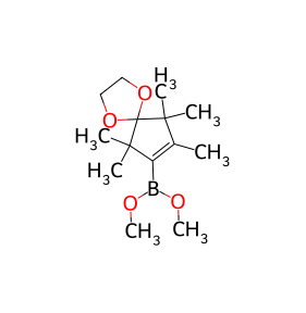 COB(OC)C1=C(C)C(C)(C)C2(OCCO2)C1(C)C